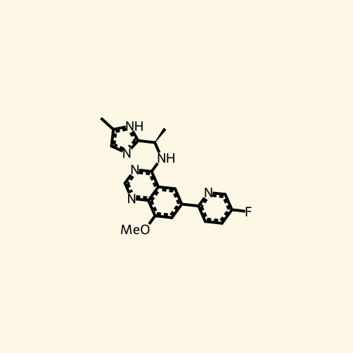 COc1cc(-c2ccc(F)cn2)cc2c(N[C@H](C)c3ncc(C)[nH]3)ncnc12